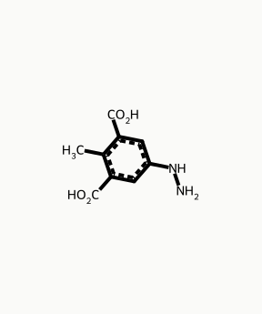 Cc1c(C(=O)O)cc(NN)cc1C(=O)O